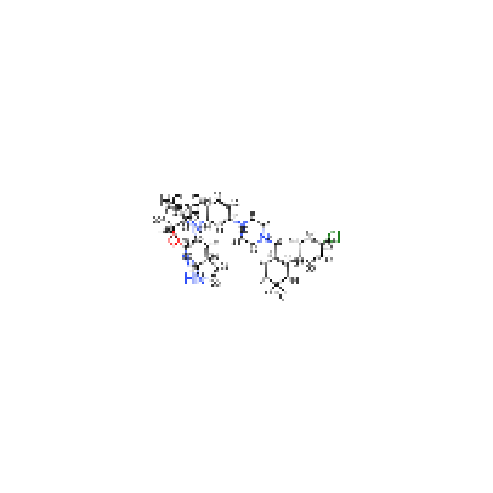 CC1(C)CCC(CN2CCN(c3ccc(C(=O)O)c(N4c5cc6cc[nH]c6nc5O[C@H]5CCC[C@@H]54)c3)CC2)=C(c2ccc(Cl)cc2)C1